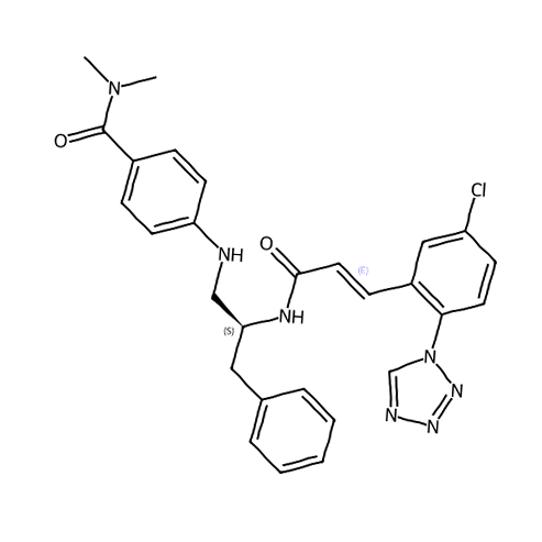 CN(C)C(=O)c1ccc(NC[C@H](Cc2ccccc2)NC(=O)/C=C/c2cc(Cl)ccc2-n2cnnn2)cc1